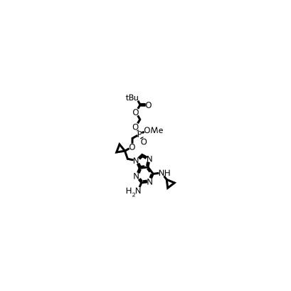 [CH2]OP(=O)(COC1(Cn2cnc3c(NC4CC4)nc(N)nc32)CC1)OCOC(=O)C(C)(C)C